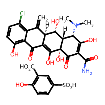 C=C1c2c(Cl)ccc(O)c2C(=O)C2=C(O)[C@]3(O)C(=O)C(C(N)=O)=C(O)[C@@H](N(C)C)[C@H]3[C@@H](O)[C@H]12.O=C(O)c1cc(S(=O)(=O)O)ccc1O